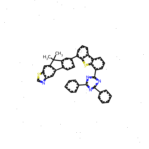 CC1(C)c2cc(-c3cccc4c3sc3c(-c5nc(-c6ccccc6)nc(-c6ccccc6)n5)cccc34)ccc2-c2cc3ncsc3cc21